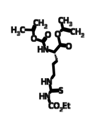 C=C(C)OC(=O)N[C@@H](CCCNC(=S)NC(=O)OCC)C(=O)OC(=C)C